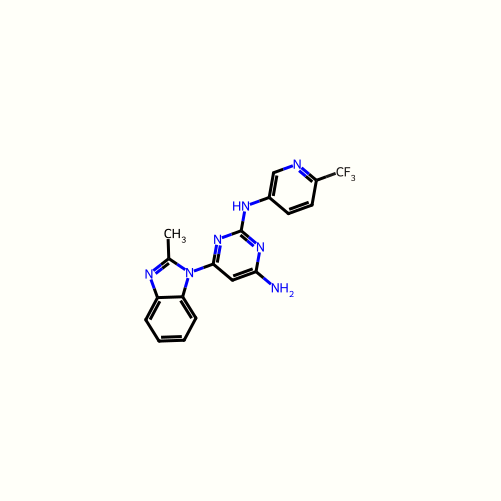 Cc1nc2ccccc2n1-c1cc(N)nc(Nc2ccc(C(F)(F)F)nc2)n1